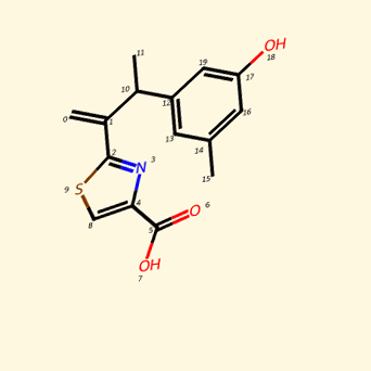 C=C(c1nc(C(=O)O)cs1)C(C)c1cc(C)cc(O)c1